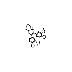 COc1ccc(C2=C(c3ccc(OC)c(OC)c3)CN3CCCCC3C2)cc1OC